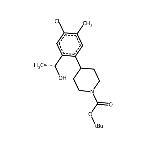 Cc1cc(C2CCN(C(=O)OC(C)(C)C)CC2)c([C@@H](C)O)cc1Cl